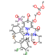 COC(=O)OCOc1c2n(cc(P(C)(C)=O)c1=O)N([C@@H]1c3ccccc3SCc3c1ccc(F)c3F)[C@@H]1COCCN1C2=O